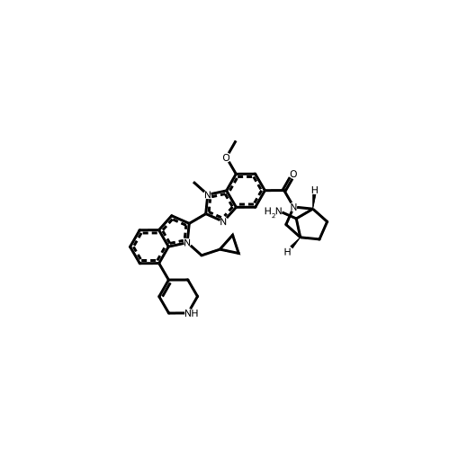 COc1cc(C(=O)N2C[C@H]3CC[C@@H]2C3N)cc2nc(-c3cc4cccc(C5=CCNCC5)c4n3CC3CC3)n(C)c12